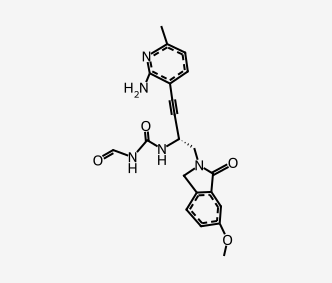 COc1ccc2c(c1)C(=O)N(C[C@@H](C#Cc1ccc(C)nc1N)NC(=O)NC=O)C2